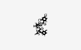 Cc1cccc(-c2sc(C)nc2C(=O)N2C[C@H]3C[C@H]3[C@H]2CNC(=O)c2ccc(Cl)cc2Cl)c1